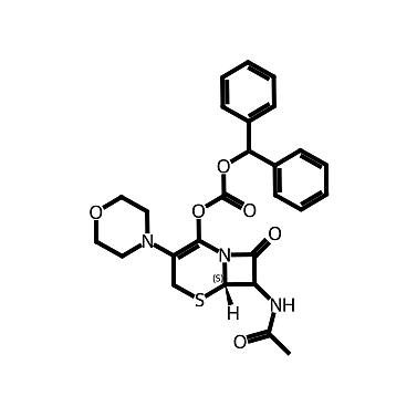 CC(=O)NC1C(=O)N2C(OC(=O)OC(c3ccccc3)c3ccccc3)=C(N3CCOCC3)CS[C@@H]12